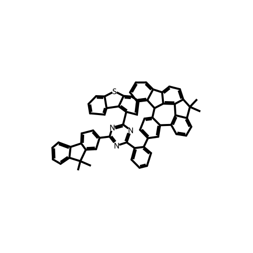 CC1(C)c2ccccc2-c2ccc(-c3nc(-c4ccccc4-c4ccc5c(c4)-c4cccc6c4-c4c(ccc7c4C5c4ccccc4-7)C6(C)C)nc(-c4cccc5sc6ccccc6c45)n3)cc21